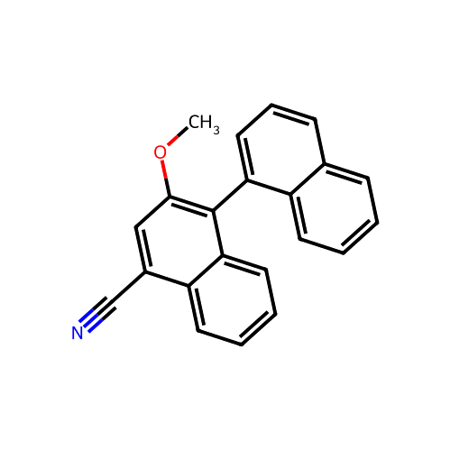 COc1cc(C#N)c2ccccc2c1-c1cccc2ccccc12